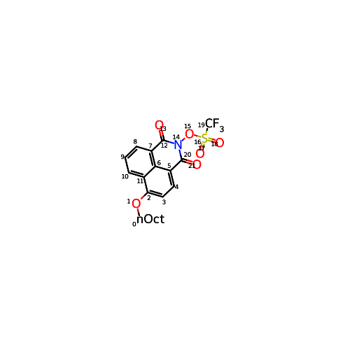 CCCCCCCCOc1ccc2c3c(cccc13)C(=O)N(OS(=O)(=O)C(F)(F)F)C2=O